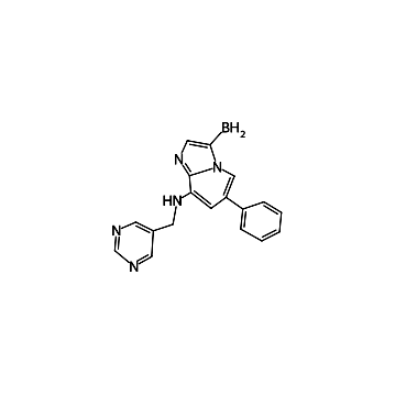 Bc1cnc2c(NCc3cncnc3)cc(-c3ccccc3)cn12